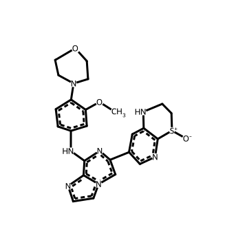 COc1cc(Nc2nc(-c3cnc4c(c3)NCC[S+]4[O-])cn3ccnc23)ccc1N1CCOCC1